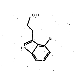 O=C(O)CCc1c[nH]c2cccc(Br)c12